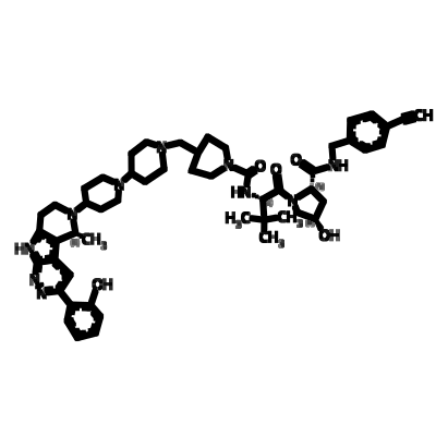 C#Cc1ccc(CNC(=O)[C@@H]2C[C@@H](O)CN2C(=O)[C@@H](NC(=O)N2CCC(CN3CCC(N4CCC(N5CCc6[nH]c7nnc(-c8ccccc8O)cc7c6[C@H]5C)CC4)CC3)CC2)C(C)(C)C)cc1